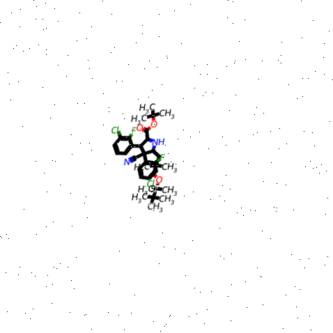 CC(C)(CO[Si](C)(C)C(C)(C)C)CC1NC(C(=O)OC(C)(C)C)C(c2cccc(Cl)c2F)C1(C#N)c1ccc(Cl)cc1F